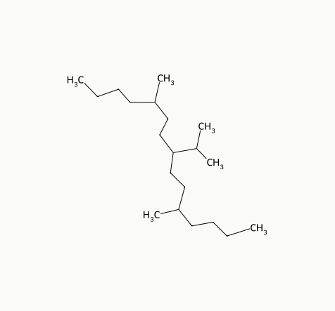 CCCCC(C)CCC(CCC(C)CCCC)C(C)C